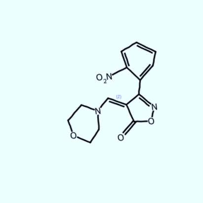 O=C1ON=C(c2ccccc2[N+](=O)[O-])/C1=C/N1CCOCC1